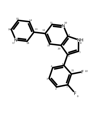 Fc1cccc(-c2c[nH]c3ncc(-c4cccnc4)cc23)c1F